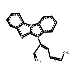 C=C/C(=C\C=C/C)n1c2ccccc2n2c3ccccc3nc12